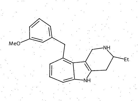 CCC1Cc2[nH]c3cccc(Cc4cccc(OC)c4)c3c2CN1